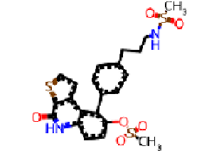 CS(=O)(=O)NCCCc1ccc(-c2c(OS(C)(=O)=O)ccc3[nH]c(=O)c4sccc4c23)cc1